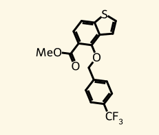 COC(=O)c1ccc2sccc2c1OCc1ccc(C(F)(F)F)cc1